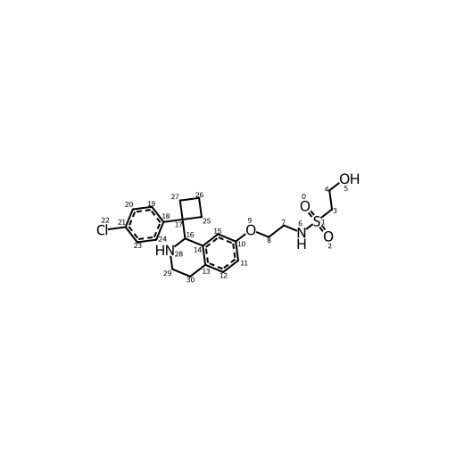 O=S(=O)(CCO)NCCOc1ccc2c(c1)C(C1(c3ccc(Cl)cc3)CCC1)NCC2